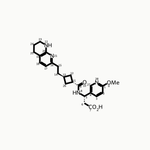 COc1ccc([C@H](CC(=O)O)NC(=O)[C@H]2C[C@H](CCc3ccc4c(n3)NCCC4)C2)cn1